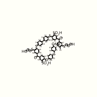 COc1ccc(Sc2ccc(Oc3ccc(C(=O)c4ccc(Sc5ccc(-c6ccc(Sc7ccc(C(=O)c8ccc(C)c(SOOO)c8)cc7S(=O)(=O)O)cc6)cc5)c(SOOO)c4)cc3S(=O)(=O)O)cc2)cc1